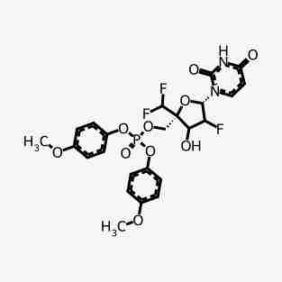 COc1ccc(OP(=O)(OC[C@]2(C(F)F)O[C@H](n3ccc(=O)[nH]c3=O)C(F)C2O)Oc2ccc(OC)cc2)cc1